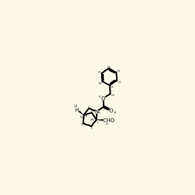 O=[C][C@]12CC[C@H](CN1C(=O)OCc1ccccc1)C2